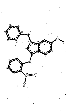 COc1ccc2c(Sc3ccccc3[N+](=O)[O-])cn(Cc3ccccn3)c2c1